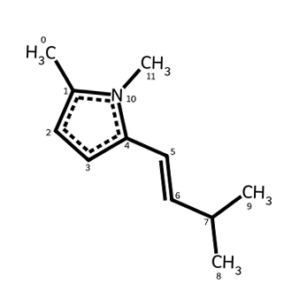 Cc1ccc(/C=C/C(C)C)n1C